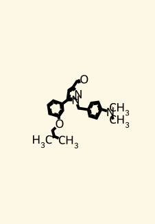 CC(C)COc1cccc(-c2cc(C=O)nn2Cc2ccc(N(C)C)cc2)c1